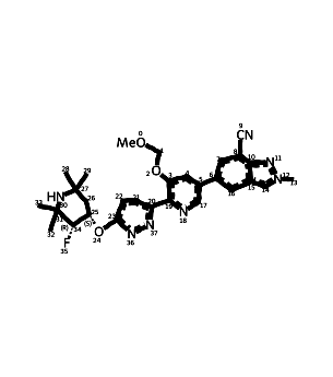 COCOc1cc(-c2cc(C#N)c3nn(C)cc3c2)cnc1-c1ccc(O[C@H]2CC(C)(C)NC(C)(C)[C@H]2F)nn1